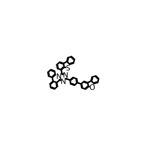 c1ccc(-c2ccccc2-c2nc(-c3ccc(-c4ccc5oc6ccccc6c5c4)cc3)nc(-c3cccc4c3sc3ccccc34)n2)cc1